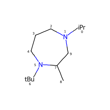 CC(C)N1CCCN(C(C)(C)C)C(C)C1